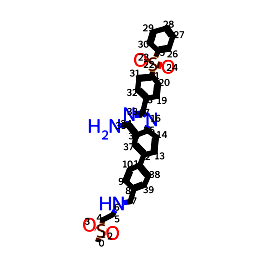 CS(=O)(=O)CCNCc1ccc(-c2ccc3nc(-c4ccc(S(=O)(=O)c5ccccc5)cc4)nc(N)c3c2)cc1